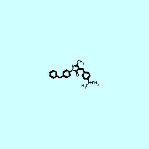 CC1=NN(c2ccc(Cc3ccccc3)cc2)C(=O)C1=Cc1ccc(N(C)C)cc1